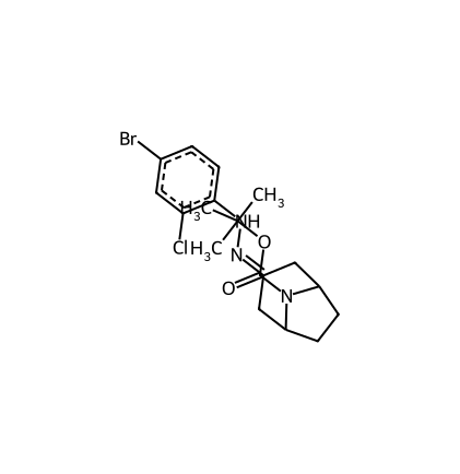 CC(C)(C)OC(=O)N1C2CCC1CC(=NNc1ccc(Br)cc1Cl)C2